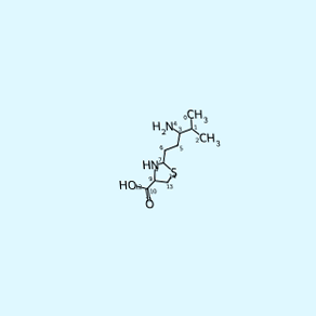 CC(C)C(N)CCC1NC(C(=O)O)CS1